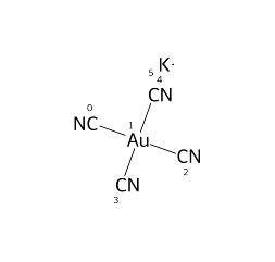 N#[C][Au]([C]#N)([C]#N)[C]#N.[K]